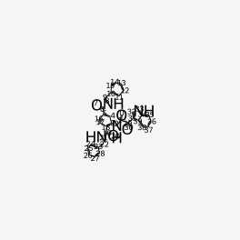 O=C(Nc1cc(C(=O)NCc2ccccc2)ccc1C(=O)NCc1ccccc1)C(=O)c1c[nH]c2ccccc12